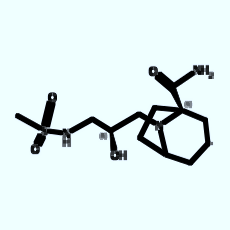 CS(=O)(=O)NC[C@H](O)CN1C2C[CH]C[C@@]1(C(N)=O)CC2